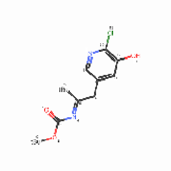 CC(C)(C)OC(=O)/N=C(/Cc1cnc(Cl)c(O)c1)C(C)(C)C